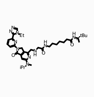 CCn1cnnc1-c1cccc(N2Cc3c(cc(N(C)C(C)C)nc3CNCC(=O)NCCCCCCC(=O)N[C@H](C)C(C)(C)C)C2=O)n1